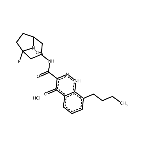 CCCCc1cccc2c(=O)c(C(=O)NC3CC4CCC(F)(C3)N4C)n[nH]c12.Cl